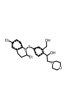 CCc1ccc2c(c1)CCC(CC)N2Sc1ccc(C(O)CN2CCOCC2)c(CO)c1